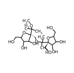 COC(C)(C)[C@]1(COC(C)(C)[C@]2(CO)OC(CO)C(O)C2O)OC(CO)C(O)C1O